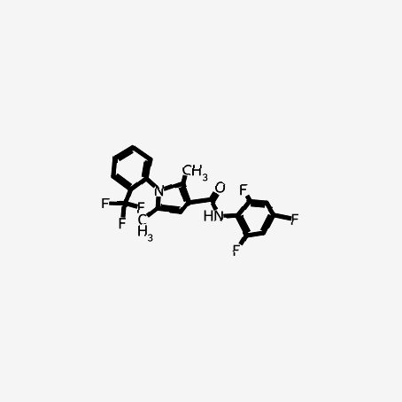 Cc1cc(C(=O)Nc2c(F)cc(F)cc2F)c(C)n1-c1ccccc1C(F)(F)F